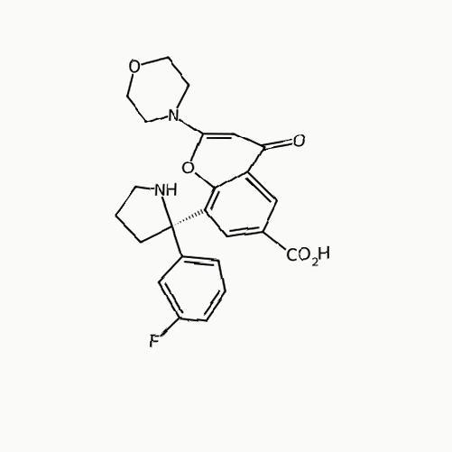 O=C(O)c1cc([C@]2(c3cccc(F)c3)CCCN2)c2oc(N3CCOCC3)cc(=O)c2c1